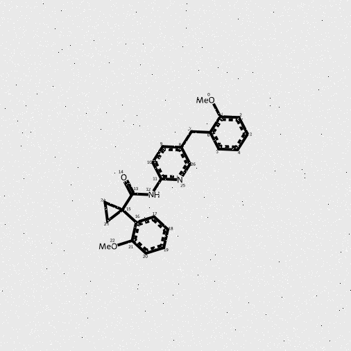 COc1ccccc1Cc1ccc(NC(=O)C2(c3ccccc3OC)CC2)nc1